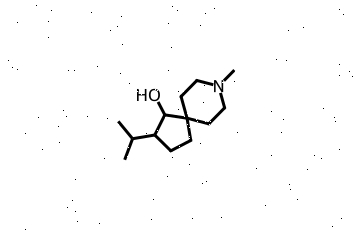 CC(C)C1CCC2(CCN(C)CC2)C1O